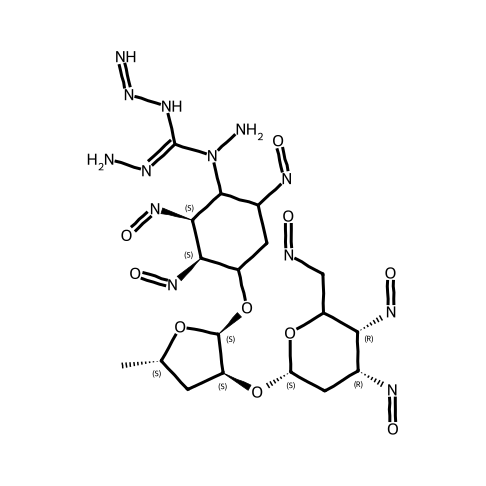 C[C@H]1C[C@H](O[C@H]2C[C@@H](N=O)[C@@H](N=O)C(CN=O)O2)[C@H](OC2CC(N=O)C(N(N)C(=NN)NN=N)[C@H](N=O)[C@@H]2N=O)O1